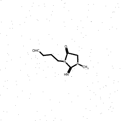 CN1CC(=O)N(CCCC=O)C1=N